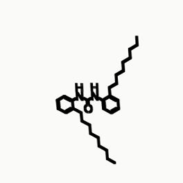 CCCCCCCCCc1ccccc1NC(=O)Nc1ccccc1CCCCCCCCC